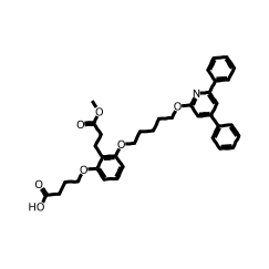 COC(=O)CCc1c(OCCCCCOc2cc(-c3ccccc3)cc(-c3ccccc3)n2)cccc1OCCCC(=O)O